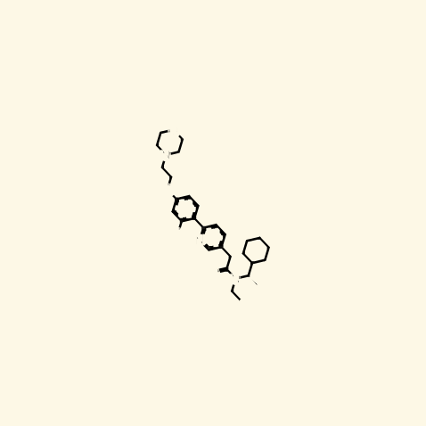 CCN(C(=O)Cc1ccc(-c2ccc(OCCN3CCOCC3)cc2F)nc1)[C@H](C)C1CCCCC1